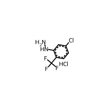 Cl.NNc1cc(Cl)ccc1C(F)(F)F